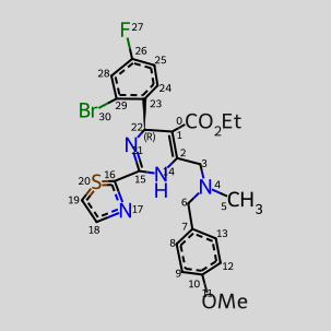 CCOC(=O)C1=C(CN(C)Cc2ccc(OC)cc2)NC(c2nccs2)=N[C@H]1c1ccc(F)cc1Br